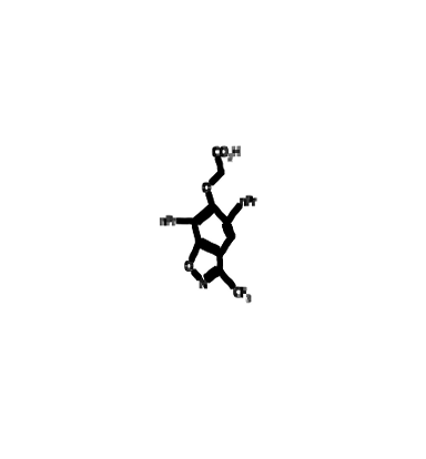 CCCc1cc2c(C(F)(F)F)noc2c(CCC)c1OCC(=O)O